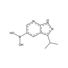 CC(C)c1n[nH]c2ncc(B(O)O)cc12